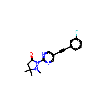 CN1N(c2ncc(C#Cc3cccc(F)c3)cn2)C(=O)CC1(C)C